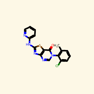 Cc1cccc(Cl)c1-n1cnc2nc(Nc3ccccn3)sc2c1=O